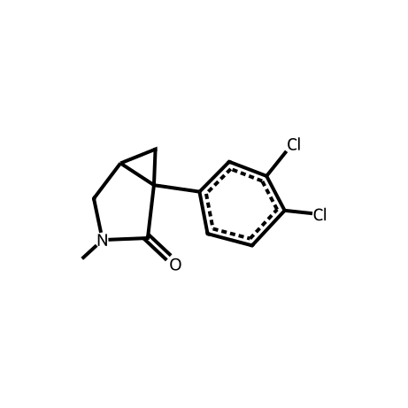 CN1CC2CC2(c2ccc(Cl)c(Cl)c2)C1=O